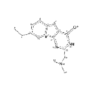 CCc1ccc2sc3c(=O)[nH]c(CN(C)C)nc3c2c1